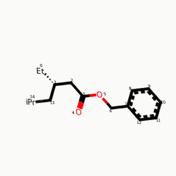 CC[C@H](CC(=O)OCc1ccccc1)CC(C)C